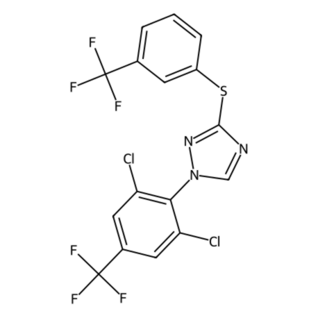 FC(F)(F)c1cccc(Sc2ncn(-c3c(Cl)cc(C(F)(F)F)cc3Cl)n2)c1